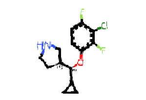 Fc1ccc(O[C@@H](C2CC2)[C@H]2CCNC2)c(F)c1Cl